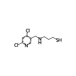 SCCCNCc1cnc(Cl)cc1Cl